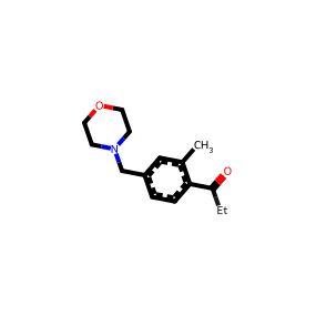 CCC(=O)c1ccc(CN2CCOCC2)cc1C